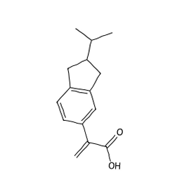 C=C(C(=O)O)c1ccc2c(c1)CC(C(C)C)C2